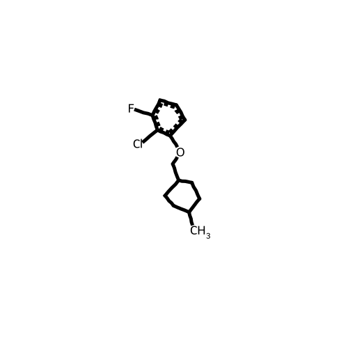 CC1CCC(COc2cccc(F)c2Cl)CC1